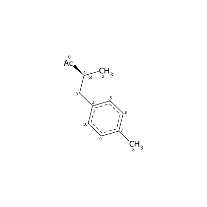 CC(=O)[C@@H](C)Cc1ccc(C)cc1